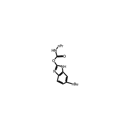 CCCCc1ccc2nc(OC(=O)NCCC)[nH]c2c1